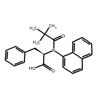 CC(C)(C)C(=O)N(c1cccc2ccccc12)[C@H](Cc1ccccc1)C(=O)O